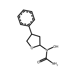 NC(=O)N(O)C1CC(c2ccccc2)CO1